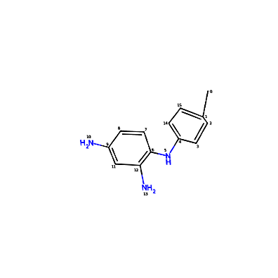 Cc1ccc(Nc2ccc(N)cc2N)cc1